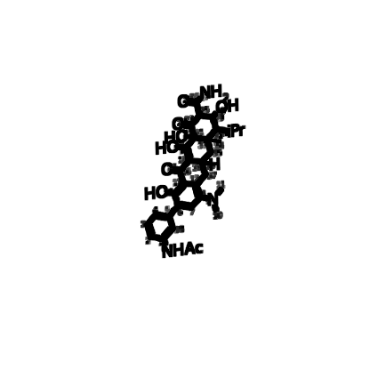 CC(=O)Nc1cccc(-c2cc(N(C)C)c3c(c2O)C(=O)C2=C(O)[C@]4(O)C(=O)C(C(N)=O)C(O)C(C(C)C)[C@]4(C)C[C@@H]2C3)c1